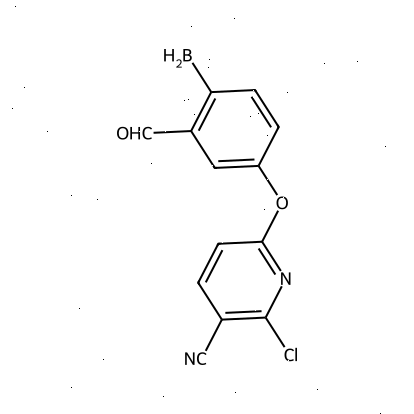 Bc1ccc(Oc2ccc(C#N)c(Cl)n2)cc1C=O